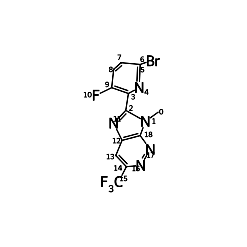 Cn1c(-c2nc(Br)ccc2F)nc2cc(C(F)(F)F)nnc21